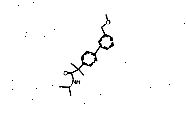 COCc1cccc(-c2ccc(C(C)(C)C(=O)NC(C)C)cc2)c1